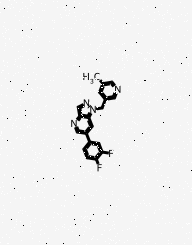 Cc1cncc(Cn2ncc3ncc(-c4ccc(F)c(F)c4)cc32)c1